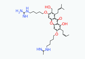 C/C=C\Cc1c(OCCCCCNC(C)=N)cc2oc3cc(OCCCCCNC(=N)N)c(CO)c(CC=C(C)C)c3c(=O)c2c1O